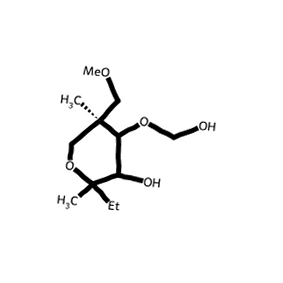 CCC1(C)OC[C@@](C)(COC)C(OCO)C1O